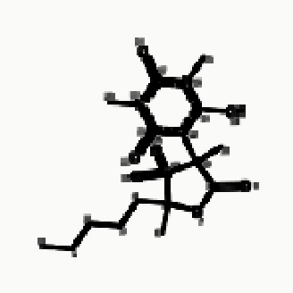 CCCCCC1(C)OC(=O)C(C)(c2c(O)n(C)c(=O)n(C)c2=O)S1(=O)=O